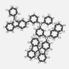 c1ccc(N(c2cccc(-c3ccc4c5ccccc5n(-c5ccccc5)c4c3)c2)c2cccc(N(c3ccc4c(c3)C3(c5ccccc5-c5ccccc53)c3ccccc3-4)c3ccc4ccccc4c3)c2)cc1